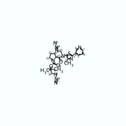 Cc1nc(-c2cccnc2)sc1N(CN=[N+]=[N-])C(=O)C1CCCN1C(=O)OC(C)(C)CN=[N+]=[N-]